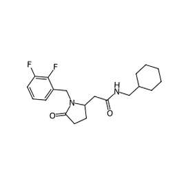 O=C(CC1CCC(=O)N1Cc1cccc(F)c1F)NCC1CCCCC1